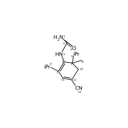 CC(C)C1=C(NC(N)=O)C(C)(C(C)C)CC(C#N)=C1